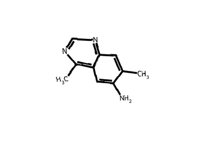 Cc1cc2ncnc(C)c2cc1N